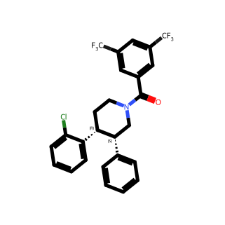 O=C(c1cc(C(F)(F)F)cc(C(F)(F)F)c1)N1CC[C@@H](c2ccccc2Cl)[C@@H](c2ccccc2)C1